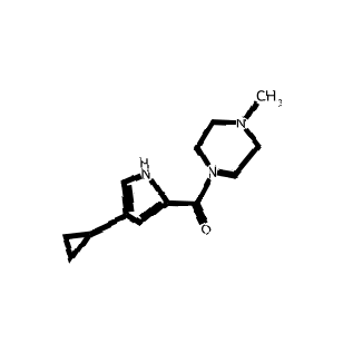 CN1CCN(C(=O)c2cc(C3CC3)c[nH]2)CC1